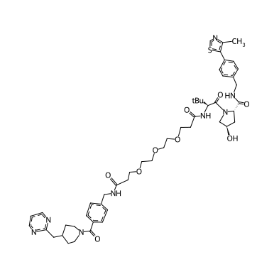 Cc1ncsc1-c1ccc(CNC(=O)[C@@H]2C[C@@H](O)CN2C(=O)[C@@H](NC(=O)CCOCCOCCOCCC(=O)NCc2ccc(C(=O)N3CCC(Cc4ncccn4)CC3)cc2)C(C)(C)C)cc1